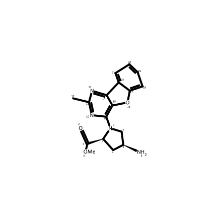 COC(=O)[C@@H]1C[C@H](N)CN1c1nc(C)nc2c1oc1ccccc12